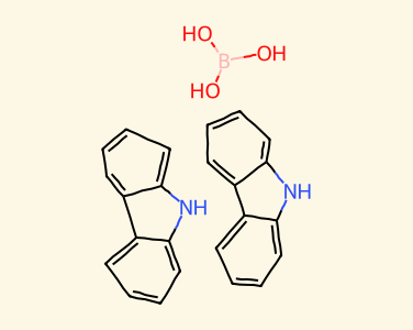 OB(O)O.c1ccc2c(c1)[nH]c1ccccc12.c1ccc2c(c1)[nH]c1ccccc12